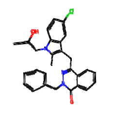 C=C(O)Cn1c(C)c(Cc2nn(Cc3ccccc3)c(=O)c3ccccc23)c2cc(Cl)ccc21